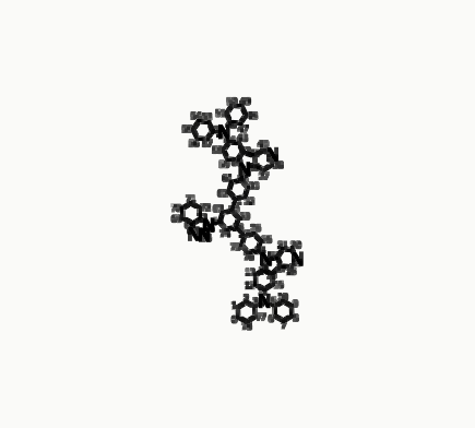 c1ccc(N(c2ccccc2)c2ccc3c(c2)c2cnccc2n3-c2ccc(-c3cc(-c4ccc(-n5c6ccncc6c6cc(N(c7ccccc7)c7ccccc7)ccc65)cc4)cc(-n4nnc5ccccc54)c3)cc2)cc1